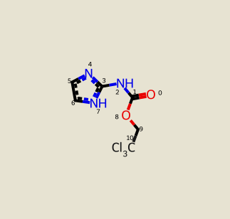 O=C(Nc1ncc[nH]1)OCC(Cl)(Cl)Cl